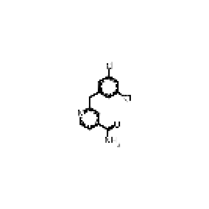 NC(=O)c1ccnc(Cc2cc(Cl)cc(Cl)c2)c1